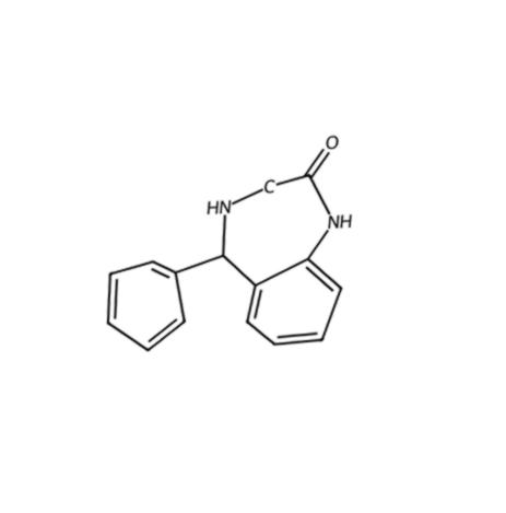 O=C1CNC(c2ccccc2)c2ccccc2N1